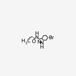 C/C=C\C(=O)Nc1n[nH]c2cc(Br)ccc12